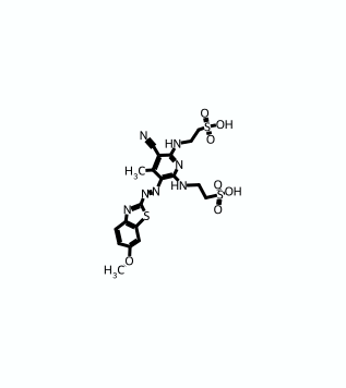 COc1ccc2nc(N=Nc3c(NCCS(=O)(=O)O)nc(NCCS(=O)(=O)O)c(C#N)c3C)sc2c1